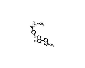 CCOC(=O)[C@H]1CC1c1ccc(OC2CCc3c(-c4cccc5c4ccn5C)ccc(F)c32)cc1